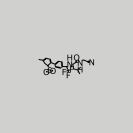 CC1=CC=C(c2ccc(C(NC(CC(C)C)C(=O)NCC#N)C(F)(F)F)cc2)C(=S(=O)=O)C1